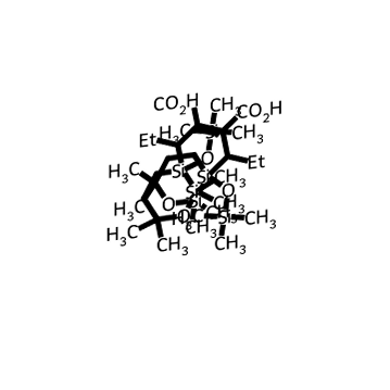 CCC(C(C(=O)O)=C(C(=O)O)C(CC)[Si]1(O[Si](C)(C)C)CCC(C)(C)O[Si]1(C)C)[Si]1(O[Si](C)(C)C)CCC(C)(C)O[Si]1(C)C